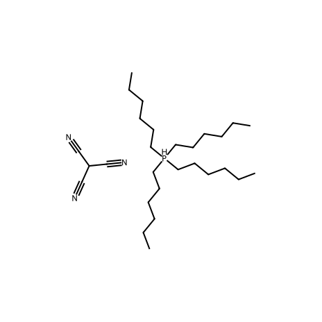 CCCCCC[PH](CCCCCC)(CCCCCC)CCCCCC.N#CC(C#N)C#N